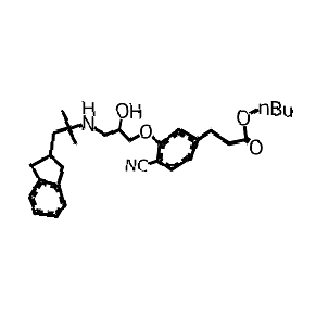 CCCCOC(=O)CCc1ccc(C#N)c(OCC(O)CNC(C)(C)CC2Cc3ccccc3C2)c1